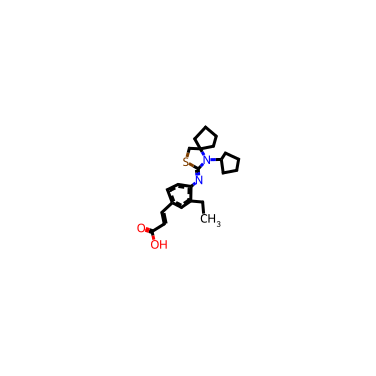 CCc1cc(/C=C/C(=O)O)ccc1N=C1SCC2(CCCC2)N1C1CCCC1